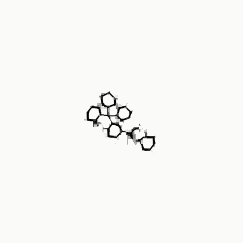 c1ccc(C2(c3ccccc3)c3ccccc3Oc3ccc(-c4cnc5ccccc5n4)cc32)cc1